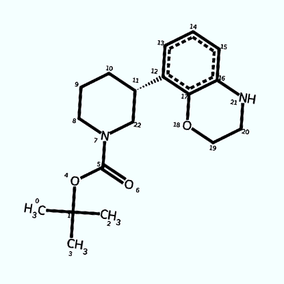 CC(C)(C)OC(=O)N1CCC[C@H](c2cccc3c2OCCN3)C1